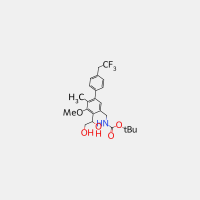 COc1c(C)c(-c2ccc(CC(F)(F)F)cc2)cc(CNC(=O)OC(C)(C)C)c1C(O)CO